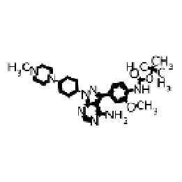 COc1cc(-c2nn([C@H]3CC[C@@H](N4CCN(C)CC4)CC3)c3ncnc(N)c23)ccc1NC(=O)OC(C)(C)C